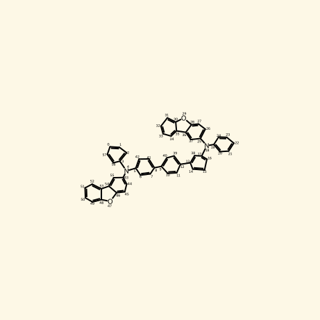 c1ccc(N(c2ccc(-c3ccc(-c4cccc(N(c5ccccc5)c5ccc6oc7ccccc7c6c5)c4)cc3)cc2)c2ccc3oc4ccccc4c3c2)cc1